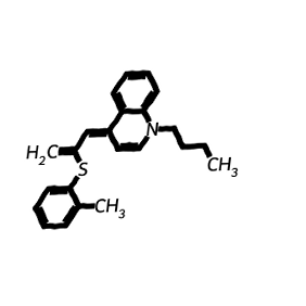 C=C(C=C1C=CN(CCCC)c2ccccc21)Sc1ccccc1C